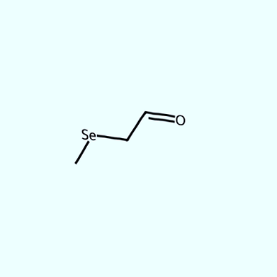 C[Se]CC=O